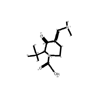 CN(C)C=C1CCN(C(=O)O)C(C(C)(C)C)C1=O